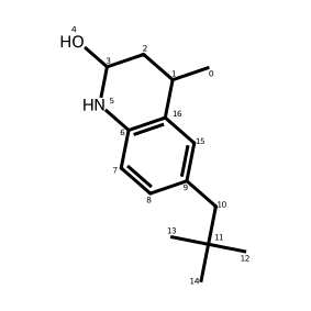 CC1CC(O)Nc2ccc(CC(C)(C)C)cc21